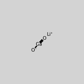 [Li+].[O]=[Ga][O-]